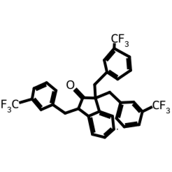 O=C1C(Cc2cccc(C(F)(F)F)c2)c2cc[c]cc2C1(Cc1cccc(C(F)(F)F)c1)Cc1cccc(C(F)(F)F)c1